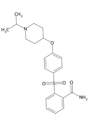 CC(C)N1CCC(Oc2ccc(S(=O)(=O)c3ccccc3C(N)=O)cc2)CC1